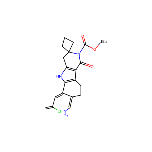 C=C(Cl)/C=C1\C(=C/N)CCc2c1[nH]c1c2C(=O)N(C(=O)OC(C)(C)C)C2(CCC2)C1